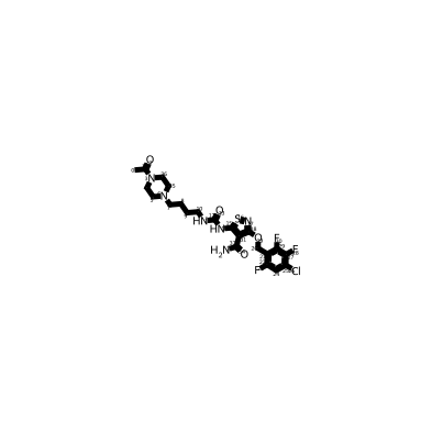 CC(=O)N1CCN(CCCCNC(=O)Nc2snc(OCc3c(F)cc(Cl)c(F)c3F)c2C(N)=O)CC1